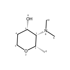 C[C@@H]1OCC[C@H](O)[C@@H]1N(C)C